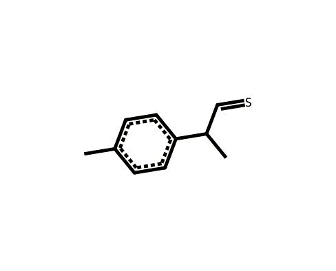 Cc1ccc(C(C)C=S)cc1